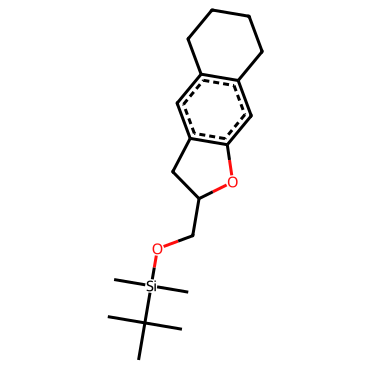 CC(C)(C)[Si](C)(C)OCC1Cc2cc3c(cc2O1)CCCC3